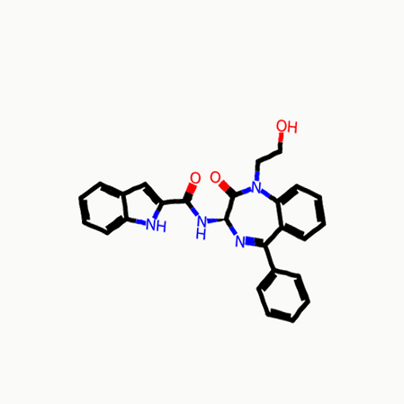 O=C(N[C@@H]1N=C(c2ccccc2)c2ccccc2N(CCO)C1=O)c1cc2ccccc2[nH]1